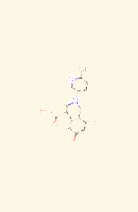 Cc1c(C(=O)O)c2cc(=O)cc(F)c-2cn1-c1ccc(Br)nc1